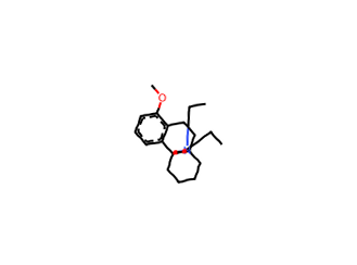 CCC1N(CC)CCC23CCCCC12CCc1c(OC)cccc13